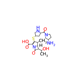 CC(O)C1C(=O)N2C(C(=O)O)=C(SC3CNC(C(=O)N4CCC(N)C4)C3)C(C)[C@@H]12